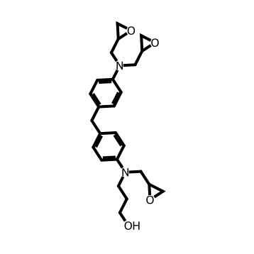 OCCCN(CC1CO1)c1ccc(Cc2ccc(N(CC3CO3)CC3CO3)cc2)cc1